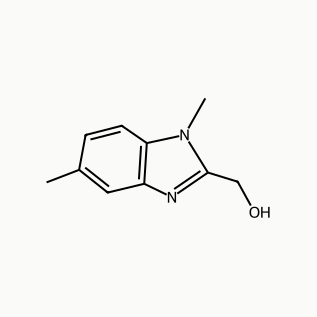 Cc1ccc2c(c1)nc(CO)n2C